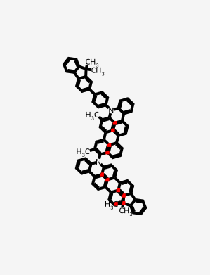 Cc1cc(-c2ccc(N(c3ccc(-c4ccc5c(c4)C(C)(C)c4ccccc4-5)cc3)c3ccccc3-c3ccc(-c4ccccc4)cc3)c(C)c2)ccc1N(c1ccc(-c2ccc3c(c2)C(C)(C)c2ccccc2-3)cc1)c1ccccc1-c1ccc(-c2ccccc2)cc1